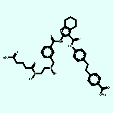 CCCCC(=O)CCCC(=O)N(CCN(Cc1cccc(C(=O)Nc2sc3c(c2C(=O)Nc2ccc(CCc4ccc(C(=O)OC)cc4)cc2)CCCC3)c1)C(C)C)C(C)C